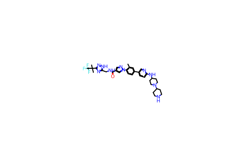 Cc1cc(-c2ccc(NC3CCN(C4CCNCC4)CC3)nc2)ccc1-n1cc(C(=O)NCc2nc(C(C)(C)C(F)(F)F)n[nH]2)cn1